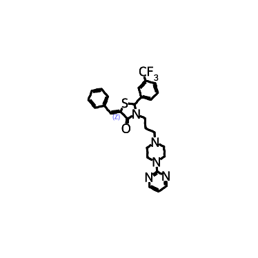 O=C1/C(=C/c2ccccc2)SC(c2cccc(C(F)(F)F)c2)N1CCCN1CCN(c2ncccn2)CC1